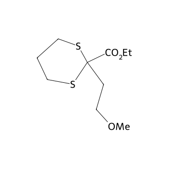 CCOC(=O)C1(CCOC)SCCCS1